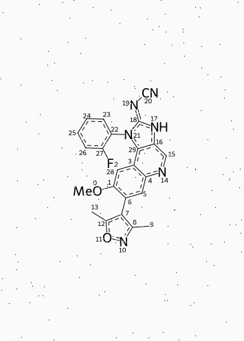 COc1cc2c(cc1-c1c(C)noc1C)ncc1[nH]c(=NC#N)n(-c3ccccc3F)c12